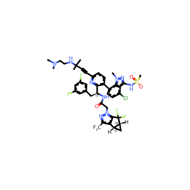 CN(C)CCNC(C)(C)C#Cc1ccc(-c2ccc(Cl)c3c(NS(C)(=O)=O)nn(C)c23)c([C@H](Cc2cc(F)cc(F)c2)NC(=O)Cn2nc(C(F)(F)F)c3c2C(F)(F)[C@@H]2C[C@H]32)n1